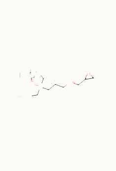 CC[Si](CC)(CCCOCC1CO1)OC